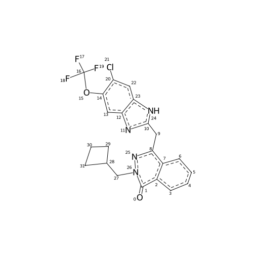 O=c1c2ccccc2c(Cc2nc3cc(OC(F)(F)F)c(Cl)cc3[nH]2)nn1CC1CCC1